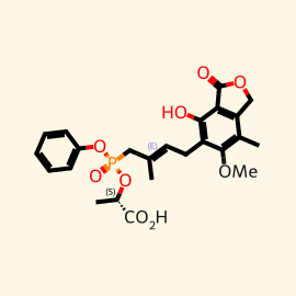 COc1c(C)c2c(c(O)c1C/C=C(\C)CP(=O)(Oc1ccccc1)O[C@@H](C)C(=O)O)C(=O)OC2